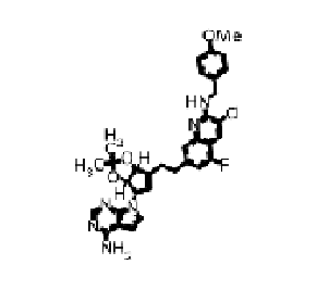 COc1ccc(CNc2nc3cc(CCC4=C[C@@H](n5ccc6c(N)ncnc65)[C@@H]5OC(C)(C)O[C@H]45)cc(F)c3cc2Cl)cc1